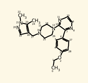 CCOc1ccc(-c2nccnc2N2CCN(Cc3cnn(C)c3C)CC2)cc1